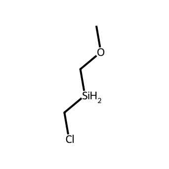 COC[SiH2]CCl